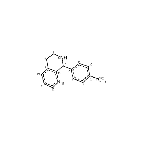 FC(F)(F)c1ccc(C2NCCc3cccnc32)cc1